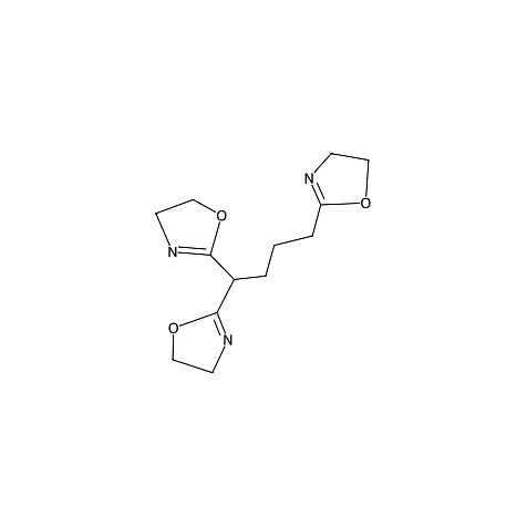 C(CC1=NCCO1)CC(C1=NCCO1)C1=NCCO1